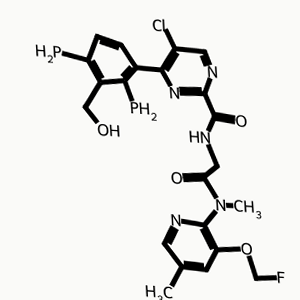 Cc1cnc(N(C)C(=O)CNC(=O)c2ncc(Cl)c(-c3ccc(P)c(CO)c3P)n2)c(OCF)c1